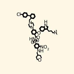 CN(C)CCCc1c[nH]c2ccc(Oc3cc(N4CCN(Cc5ccccc5-c5ccc(Cl)cc5)CC4)ccc3C(=O)NS(=O)(=O)c3ccc(NCC4CCOCC4)c([N+](=O)[O-])c3)cc12